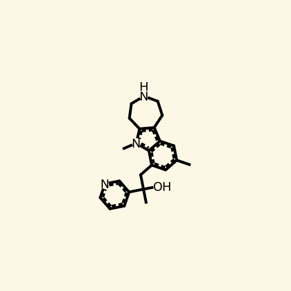 Cc1cc(CC(C)(O)c2cccnc2)c2c(c1)c1c(n2C)CCNCC1